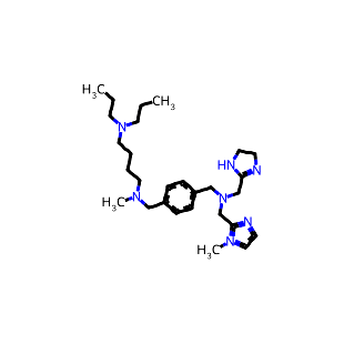 CCCN(CCC)CCCCN(C)Cc1ccc(CN(CC2=NCCN2)Cc2nccn2C)cc1